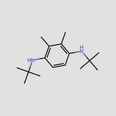 Cc1c(NC(C)(C)C)ccc(NC(C)(C)C)c1C